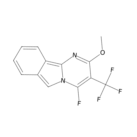 COc1nc2c3ccccc3cn2c(F)c1C(F)(F)F